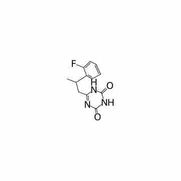 CC(Cc1nc(=O)[nH]c(=O)[nH]1)c1ccccc1F